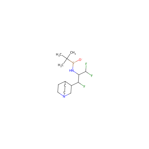 CC(C)(C)[S+]([O-])NC(C(F)F)C(F)C1CN2CCC1CC2